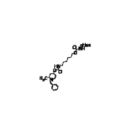 CCCCCCNC(=O)OCCCCCCNC(=O)OC1CCN(Cc2ccccc2)C(C)C1